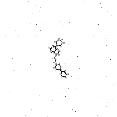 c1ccc(N2CCN(CCCn3cnc4c(N5CCCCC5)ncnc43)CC2)cc1